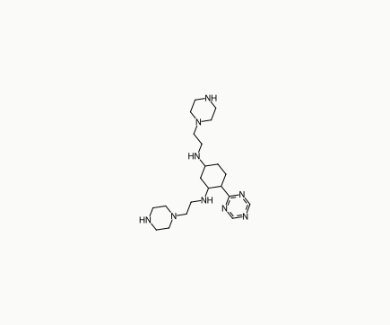 c1ncnc(C2CCC(NCCN3CCNCC3)CC2NCCN2CCNCC2)n1